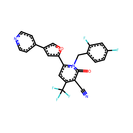 N#Cc1c(C(F)(F)F)cc(-c2cc(-c3ccncc3)co2)n(Cc2ccc(F)cc2F)c1=O